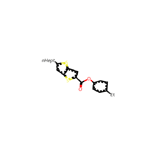 CCCCCCCc1cc2sc(C(=O)Oc3ccc(CC)cc3)cc2s1